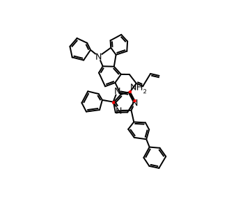 C=C/C=C(\Cc1c(-c2ccccc2N)ccc2c1c1ccccc1n2-c1ccccc1)c1nc(-c2ccccc2)nc(-c2ccc(-c3ccccc3)cc2)n1